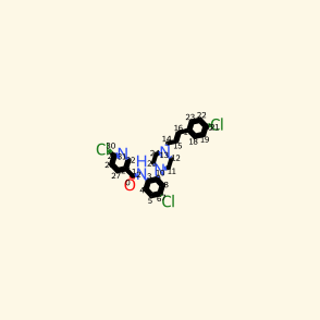 O=C(Nc1ccc(Cl)cc1N1CCN(C/C=C/c2ccc(Cl)cc2)CC1)c1ccc(Cl)nc1